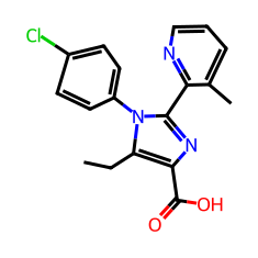 CCc1c(C(=O)O)nc(-c2ncccc2C)n1-c1ccc(Cl)cc1